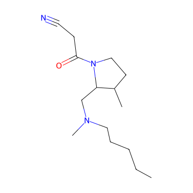 CCCCCN(C)CC1C(C)CCN1C(=O)CC#N